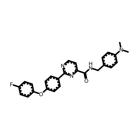 CN(C)c1ccc(CNC(=O)c2ccnc(-c3ccc(Oc4ccc(F)cc4)cc3)n2)cc1